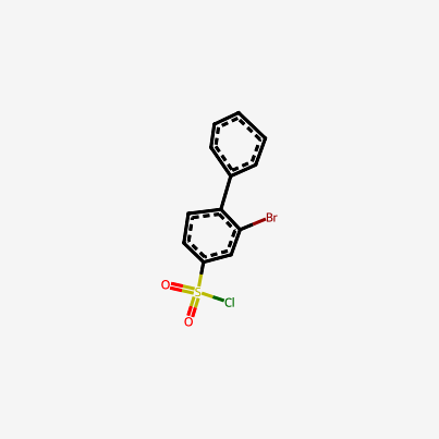 O=S(=O)(Cl)c1ccc(-c2ccccc2)c(Br)c1